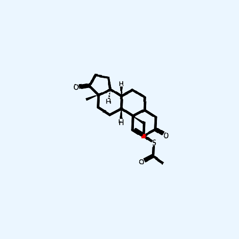 CC(=O)SCC[C@]12C=CC(=O)CC1CC[C@@H]1[C@H]2CC[C@]2(C)C(=O)CC[C@@H]12